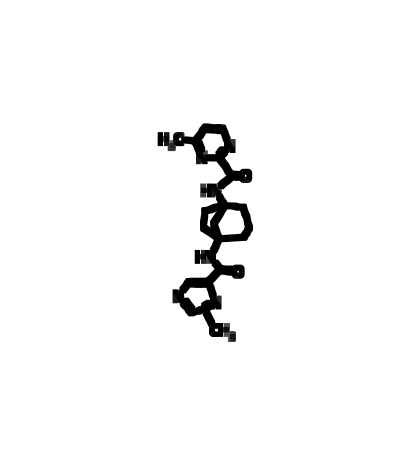 Cc1cncc(C(=O)NC23CCCC(NC(=O)c4nccc(C)n4)(CC2)C3)n1